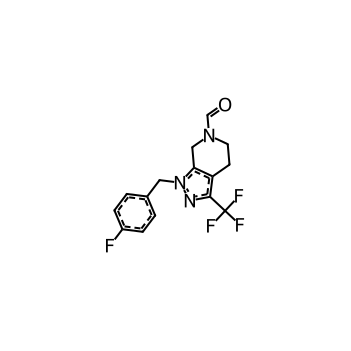 O=CN1CCc2c(C(F)(F)F)nn(Cc3ccc(F)cc3)c2C1